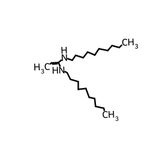 CC=C(NCCCCCCCCCC)NCCCCCCCCCC